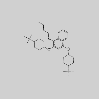 CCCCSc1c(OC2CCC(C(C)(C)C)CC2)cc(OC2CCC(C(C)(C)C)CC2)c2ccccc12